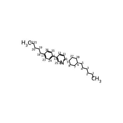 CCCCCC[C@H]1CC[C@H](c2ccc(-c3ccc(CCCCC)cc3)cn2)CC1